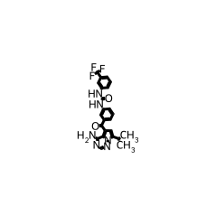 CC(C)c1cc(C(=O)c2cccc(NC(=O)Nc3cccc(C(F)(F)F)c3)c2)c2c(N)ncnn12